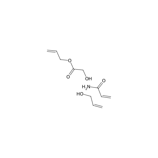 C=CC(N)=O.C=CCO.C=CCOC(=O)CO